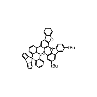 CC(C)(C)c1ccc2c(c1)c1cc(C(C)(C)C)cc3c1n2-c1c2c(cc4c1oc1ccccc14)-c1cccc4c1N(B23)c1ccccc1[Si]41c2ccccc2-c2ccccc21